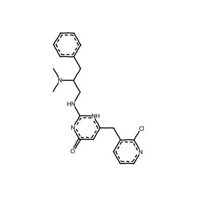 CN(C)C(CNc1nc(=O)cc(Cc2cccnc2Cl)[nH]1)Cc1ccccc1